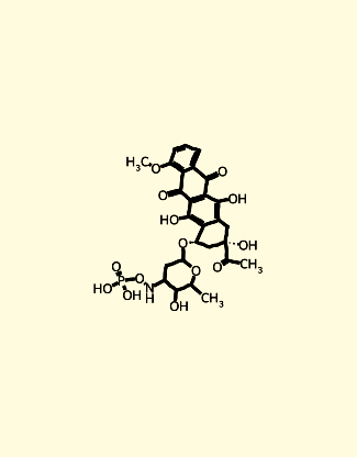 COc1cccc2c1C(=O)c1c(O)c3c(c(O)c1C2=O)C[C@@](O)(C(C)=O)C[C@@H]3OC1CC(NOP(=O)(O)O)C(O)C(C)O1